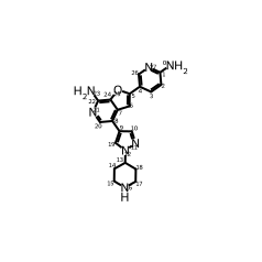 Nc1ccc(-c2cc3c(-c4cnn(C5CCNCC5)c4)cnc(N)c3o2)cn1